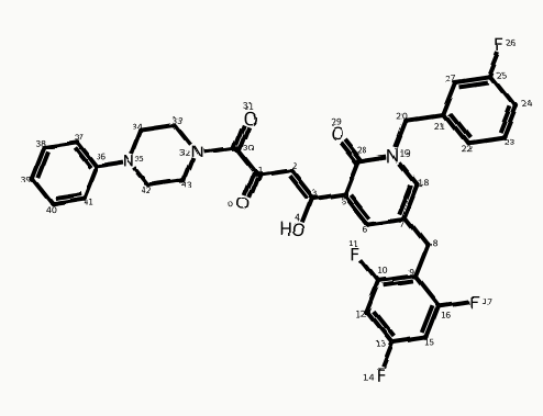 O=C(C=C(O)c1cc(Cc2c(F)cc(F)cc2F)cn(Cc2cccc(F)c2)c1=O)C(=O)N1CCN(c2ccccc2)CC1